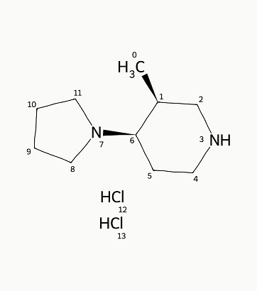 C[C@H]1CNCC[C@H]1N1CCCC1.Cl.Cl